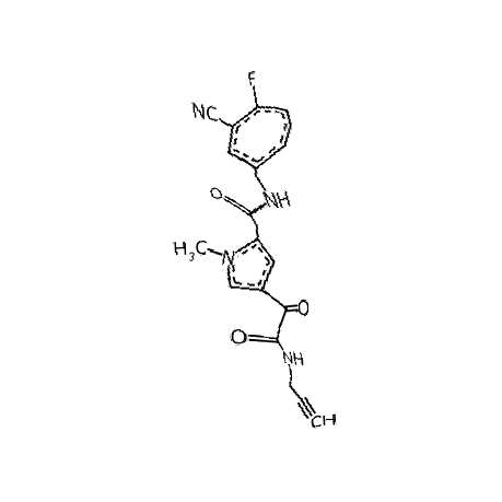 C#CCNC(=O)C(=O)c1cc(C(=O)Nc2ccc(F)c(C#N)c2)n(C)c1